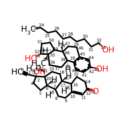 C#C[C@]1(O)CC[C@H]2[C@@H]3CCC4=CC(=O)CC[C@@H]4[C@H]3CC[C@@]21CC.CCCCCCCCCCO.C[C@]12CC[C@@H]3c4ccc(O)cc4CC[C@H]3[C@@H]1CC[C@@H]2O